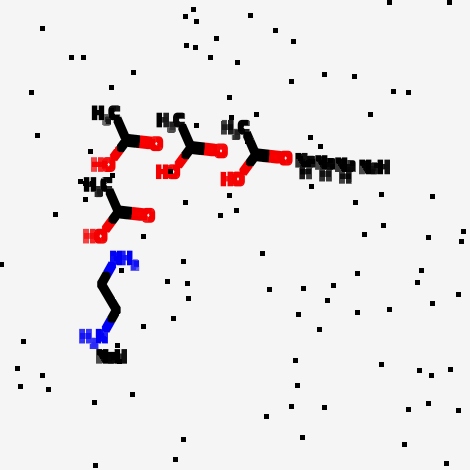 CC(=O)O.CC(=O)O.CC(=O)O.CC(=O)O.NCCN.[NaH].[NaH].[NaH].[NaH].[NaH]